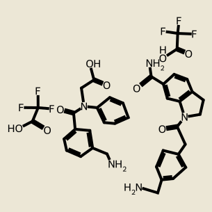 NCc1ccc(CC(=O)N2CCc3ccc(C(N)=O)cc32)cc1.NCc1cccc(C(=O)N(CC(=O)O)c2ccccc2)c1.O=C(O)C(F)(F)F.O=C(O)C(F)(F)F